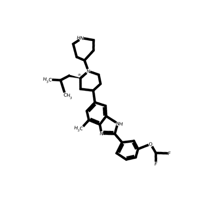 Cc1cc(C2CCN(C3CCNCC3)[C@H](CC(C)C)C2)cc2[nH]c(-c3cccc(OC(F)F)c3)nc12